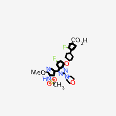 COc1ncc(-c2nc(N3CCOCC3)nc3c(OC4CCC(c5ccc(C(=O)O)cc5F)CC4)cc(F)cc23)cc1NS(C)(=O)=O